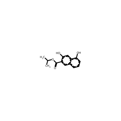 CC(C)OC(=O)c1cc2cccc(O)c2cc1O